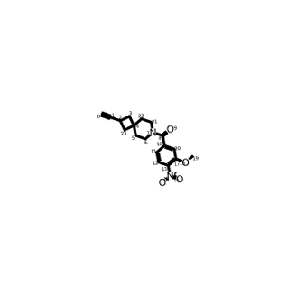 C#CC1CC2(CCN(C(=O)c3ccc([N+](=O)[O-])c(OC)c3)CC2)C1